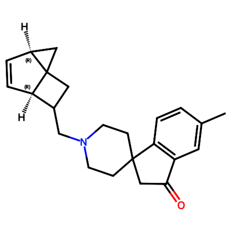 Cc1ccc2c(c1)C(=O)CC21CCN(CC2CC34C[C@@H]3C=C[C@H]24)CC1